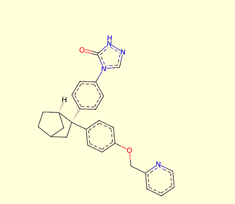 O=c1[nH]ncn1-c1ccc([C@]2(c3ccc(OCc4ccccn4)cc3)CC3CC[C@@H]2C3)cc1